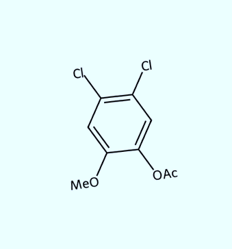 COc1cc(Cl)c(Cl)cc1OC(C)=O